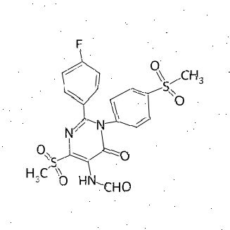 CS(=O)(=O)c1ccc(-n2c(-c3ccc(F)cc3)nc(S(C)(=O)=O)c(NC=O)c2=O)cc1